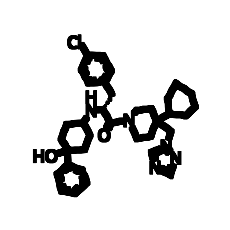 O=C([C@@H](Cc1ccc(Cl)cc1)NC1CCC(O)(c2ccccc2)CC1)N1CCC(Cn2cncn2)(C2CCCCC2)CC1